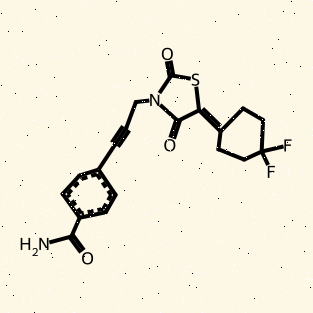 NC(=O)c1ccc(C#CCN2C(=O)SC(=C3CCC(F)(F)CC3)C2=O)cc1